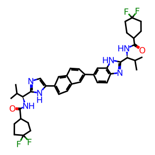 CC(C)[C@H](NC(=O)C1CCC(F)(F)CC1)c1ncc(-c2ccc3cc(-c4ccc5nc([C@@H](NC(=O)C6CCC(F)(F)CC6)C(C)C)[nH]c5c4)ccc3c2)[nH]1